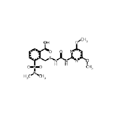 COc1cc(OC)nc(NC(=O)NSCc2c(C(=O)O)cccc2S(=O)(=O)N(C)C)n1